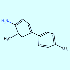 Cc1ccc(C2=CC=C(N)C(C)C2)cc1